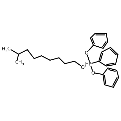 CC(C)CCCCCCCO[PH](Oc1ccccc1)(Oc1ccccc1)c1ccccc1